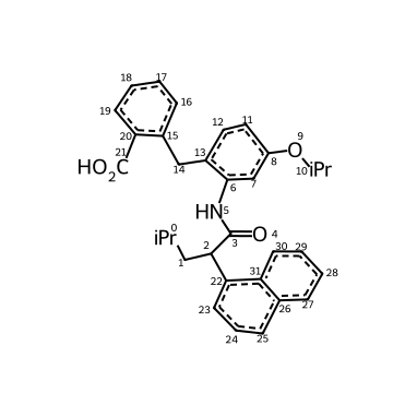 CC(C)CC(C(=O)Nc1cc(OC(C)C)ccc1Cc1ccccc1C(=O)O)c1cccc2ccccc12